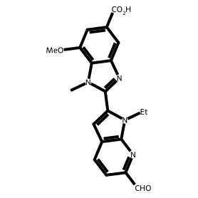 CCn1c(-c2nc3cc(C(=O)O)cc(OC)c3n2C)cc2ccc(C=O)nc21